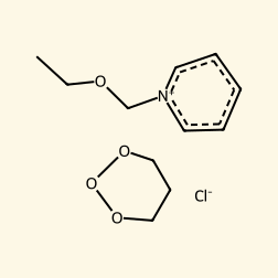 C1COOOC1.CCOC[n+]1ccccc1.[Cl-]